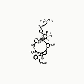 CCn1c(-c2ccccc2CCOC)c2c3cc(ccc31)-c1cc(O)cc(c1)C[C@H](NC(=O)[C@H](C(C)C)N(C)C(=O)[C@H]1CCN(C(=O)C#CCN(C)C)C1)C(=O)N1CCC[C@H](N1)C(=O)OCC(C)(C)C2